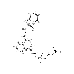 CN(C)CCC[N+](C)(C)CCC[n+]1ccc(/C=C/C=C2/Sc3ccccc3N2C)c2ccccc21